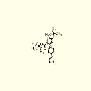 CC(C)(C)OC(=O)/N=C(\NC(=O)OC(C)(C)C)N1CCC(CCN)CC1